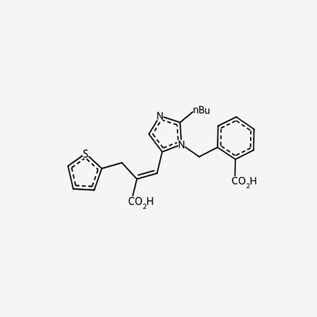 CCCCc1ncc(C=C(Cc2cccs2)C(=O)O)n1Cc1ccccc1C(=O)O